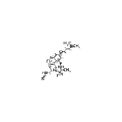 C[C@@H](Nc1nc(CNC#N)nc(Cl)c1-c1c(F)cc(OCCCN(C)C)cc1F)C(F)(F)F